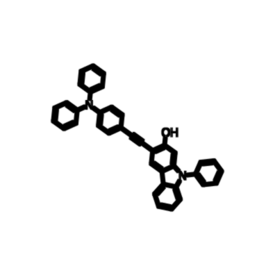 Oc1cc2c(cc1C#Cc1ccc(N(c3ccccc3)c3ccccc3)cc1)c1ccccc1n2-c1ccccc1